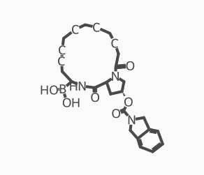 O=C1NC(B(O)O)CCCCCCCCCCC(=O)N2C[C@H](OC(=O)N3Cc4ccccc4C3)CC12